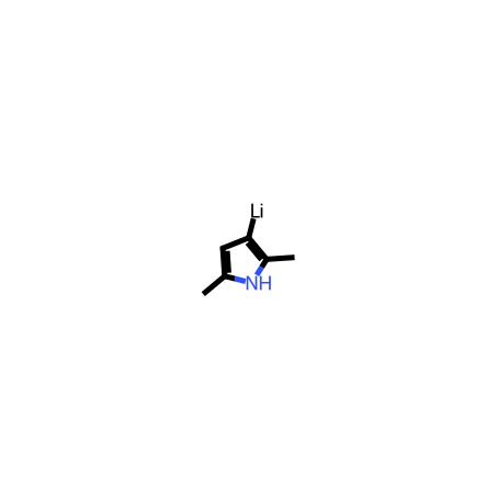 [Li][c]1cc(C)[nH]c1C